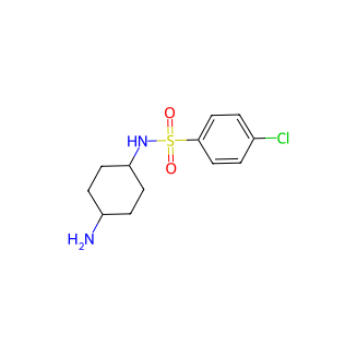 NC1CCC(NS(=O)(=O)c2ccc(Cl)cc2)CC1